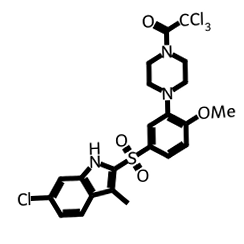 COc1ccc(S(=O)(=O)c2[nH]c3cc(Cl)ccc3c2C)cc1N1CCN(C(=O)C(Cl)(Cl)Cl)CC1